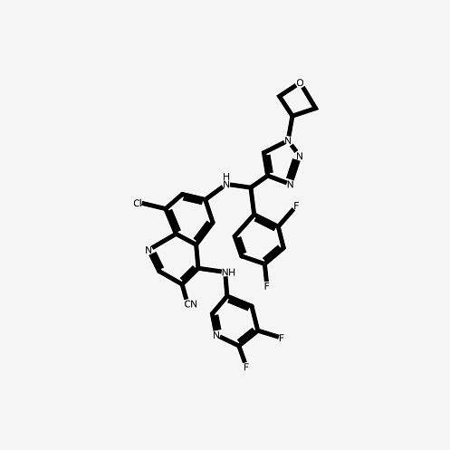 N#Cc1cnc2c(Cl)cc(NC(c3cn(C4COC4)nn3)c3ccc(F)cc3F)cc2c1Nc1cnc(F)c(F)c1